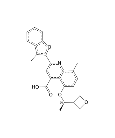 Cc1c(-c2cc(C(=O)O)c3c(O[C@H](C)C4COC4)ccc(C)c3n2)oc2ccccc12